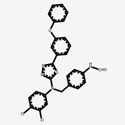 O=[C]Nc1ccc(CN(c2ccc(Cl)c(Cl)c2)c2nnc(-c3cccc(Oc4ccccc4)c3)s2)cc1